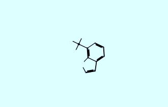 FC(F)(F)C(F)(F)c1cccc2c[c]oc12